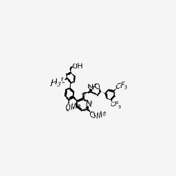 COc1ccc(-c2cc(-c3ccc(CO)cc3C)ccc2OC)c(CC2=NO[C@H](c3cc(C(F)(F)F)cc(C(F)(F)F)c3)C2)n1